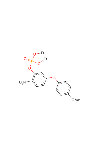 CCOP(=O)(OCC)Oc1cc(Oc2ccc(OC)cc2)ccc1[N+](=O)[O-]